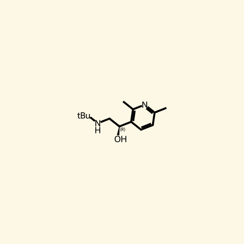 Cc1ccc([C@@H](O)CNC(C)(C)C)c(C)n1